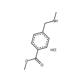 CNCc1ccc(C(=O)OC)cc1.Cl